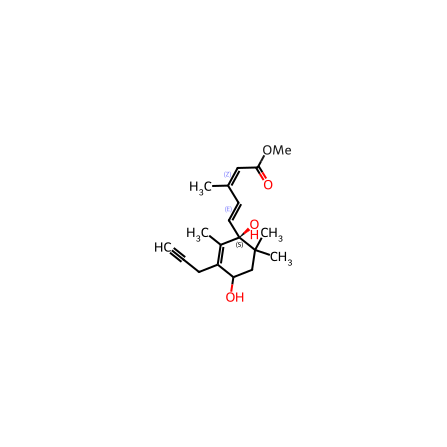 C#CCC1=C(C)[C@](O)(/C=C/C(C)=C\C(=O)OC)C(C)(C)CC1O